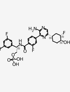 Nc1ncc([C@H]2CC[C@H](O)[C@@H](F)C2)nc1-c1ccc(C(=O)N[C@H](COP(=O)(O)O)c2cc(F)cc(I)c2)c(F)c1